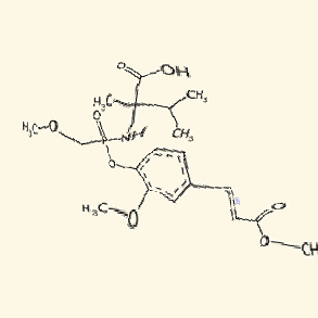 COCP(=O)(NC(C)(C(=O)O)C(C)C)Oc1ccc(/C=C/C(=O)OC)cc1OC